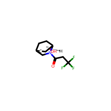 O=C(CC(F)(F)F)N1CC2CCC1[C@@H](O)CC2